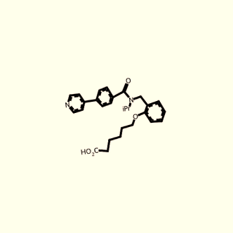 CC(C)N(Cc1ccccc1OCCCCCC(=O)O)C(=O)c1ccc(-c2ccncc2)cc1